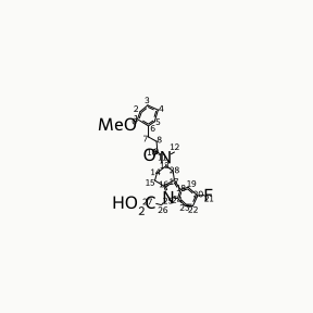 COc1ccccc1CCC(=O)N(C)[C@H]1CCc2c(c3cc(F)ccc3n2CC(=O)O)C1